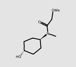 COCC(=O)N(C)[C@H]1CC[C@H](O)CC1